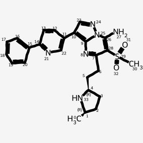 C[C@@H]1CC[C@H](CCc2nc3c(-c4ccc(-c5ccccc5)nc4)cnn3c(N)c2S(C)(=O)=O)N1